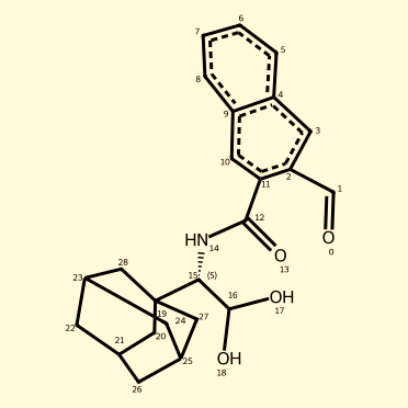 O=Cc1cc2ccccc2cc1C(=O)N[C@H](C(O)O)C12CC3CC(CC(C3)C1)C2